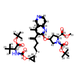 C=C(CCC[C@@H]1C[C@H]1OC(=O)N[C@H](C(=O)OC(C)(C)C)C(C)(C)C)c1c(OC2C[C@@H](C(=O)OC)N(C(=O)OC(C)(C)C)C2)nc2ccncc2c1C